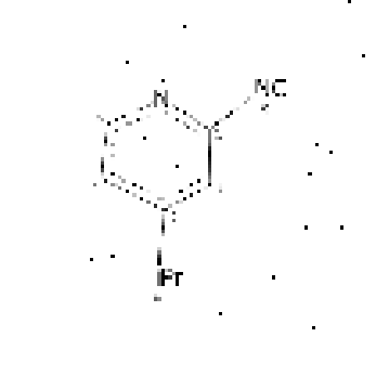 [C-]#[N+]c1cc(C(C)C)ccn1